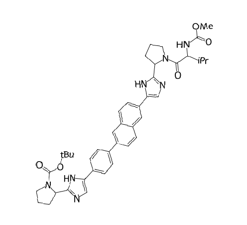 COC(=O)NC(C(=O)N1CCCC1c1ncc(-c2ccc3cc(-c4ccc(-c5cnc(C6CCCN6C(=O)OC(C)(C)C)[nH]5)cc4)ccc3c2)[nH]1)C(C)C